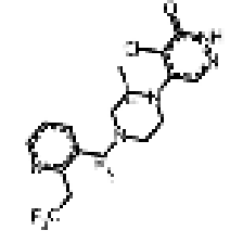 C[C@H](c1cccnc1CC(F)(F)F)N1CCN(c2cn[nH]c(=O)c2Cl)[C@H](C)C1